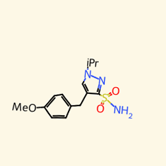 COc1ccc(Cc2cn(C(C)C)nc2S(N)(=O)=O)cc1